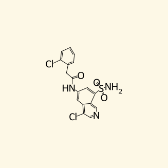 NS(=O)(=O)c1cc(NC(=O)Cc2ccccc2Cl)cc2c(Cl)cncc12